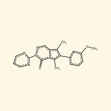 COc1cccc(-c2c(C)c3cnn(-c4ncccn4)c(=O)n3c2C)c1